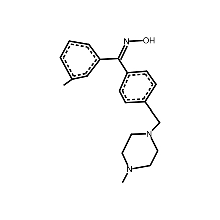 Cc1cccc(/C(=N/O)c2ccc(CN3CCN(C)CC3)cc2)c1